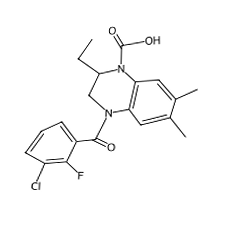 CCC1CN(C(=O)c2cccc(Cl)c2F)c2cc(C)c(C)cc2N1C(=O)O